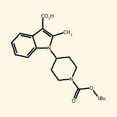 Cc1c(C(=O)O)c2ccccc2n1C1CCN(C(=O)OC(C)(C)C)CC1